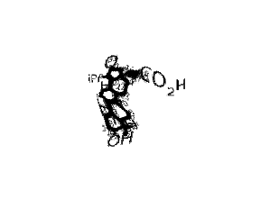 CC(C)C1=C2[C@H]3CC[C@@H]4[C@@]5(C)CC[C@H](O)C(C)(C)[C@@H]5CC[C@@]4(C)[C@]3(C)CC[C@@]2(C=CC(=O)O)CC1=O